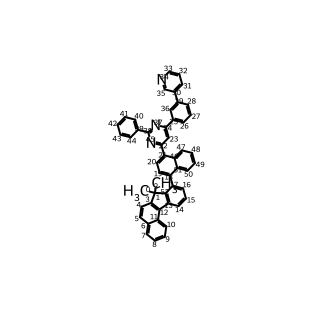 CC1(C)c2ccc3ccccc3c2-c2cccc(-c3ccc(-c4cc(-c5cccc(-c6cccnc6)c5)nc(-c5ccccc5)n4)c4ccccc34)c21